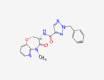 CN1C(=O)[C@@H](NC(=O)c2cnn(Cc3ccccc3)n2)COc2cccnc21